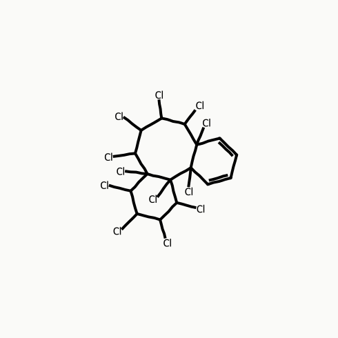 ClC1C(Cl)C(Cl)C2(Cl)C(Cl)C(Cl)C(Cl)C(Cl)C2(Cl)C2(Cl)C=CC=CC2(Cl)C1Cl